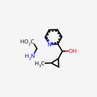 CC1CC1C(O)c1ccccn1.NCC(=O)O